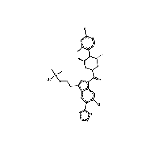 C[C@@H]1CC(C(=O)c2cn(CCO[Si](C)(C)C(C)(C)C)c3nc(-n4nccn4)c(Cl)cc23)C[C@@H](C)N1c1ncc(F)cc1I